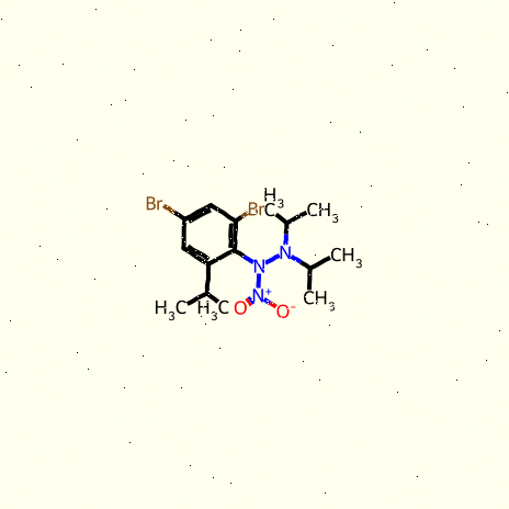 CC(C)c1cc(Br)cc(Br)c1N(N(C(C)C)C(C)C)[N+](=O)[O-]